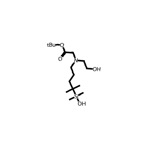 CC(C)(C)OC(=O)CN(CCO)CCCC(C)(C)[Si](C)(C)O